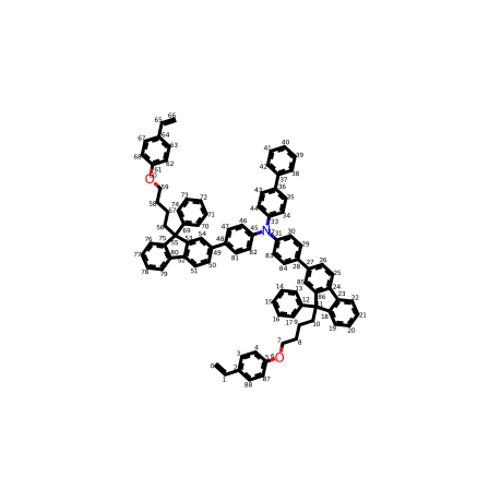 C=Cc1ccc(OCCCCC2(c3ccccc3)c3ccccc3-c3ccc(-c4ccc(N(c5ccc(-c6ccccc6)cc5)c5ccc(-c6ccc7c(c6)C(CCCCOc6ccc(C=C)cc6)(c6ccccc6)c6ccccc6-7)cc5)cc4)cc32)cc1